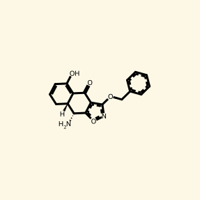 N[C@H]1c2onc(OCc3ccccc3)c2C(=O)C2=C(O)C=CC[C@H]21